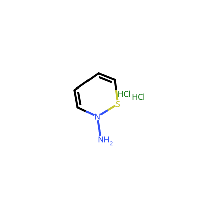 Cl.Cl.NN1C=CC=CS1